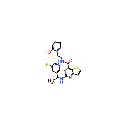 C[C@H](Nc1nc(C(=O)NCCc2ccccc2O)c2sccc2n1)c1cncc(F)c1